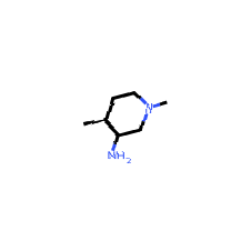 C[C@H]1CCN(C)CC1N